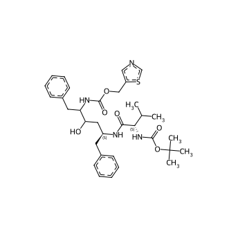 CC(C)[C@H](NC(=O)OC(C)(C)C)C(=O)N[C@@H](Cc1ccccc1)CC(O)C(Cc1ccccc1)NC(=O)OCc1cncs1